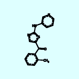 Cc1ccccc1C(=O)c1cnc(Nc2cccnc2)s1